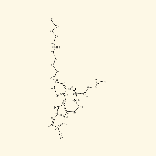 COCCCNCCCCOC1C=CC(C2c3[nH]c4ccc(Cl)cc4c3CCN2C(=O)OCCOC)=CC1